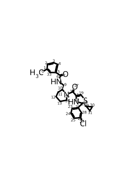 Cc1cccc(C(=O)NC[C@@H]2CCCCN2C(=O)C2=CS[C@](c3cccc(Cl)c3)(C3CC3)N2)c1